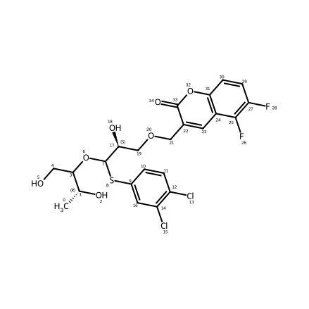 C[C@@H](O)C(CO)OC(Sc1ccc(Cl)c(Cl)c1)[C@@H](O)COCc1cc2c(F)c(F)ccc2oc1=O